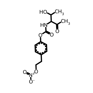 CC(=O)C(NC(=O)Oc1ccc(CCO[N+](=O)[O-])cc1)C(C)O